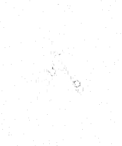 CCC(CC)CC(=O)NC(CCN(CCCCC(=O)O)CCCCc1ccc2c(n1)NCCC2)C(=O)O